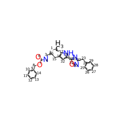 CC[C@@H](C=NC(=O)OCc1ccccc1)Cc1c[nH]c(-c2nc(Cc3ccccc3)no2)c1